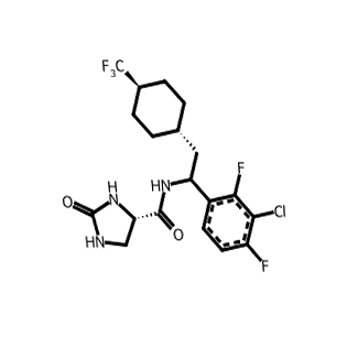 O=C1NC[C@@H](C(=O)NC(C[C@H]2CC[C@H](C(F)(F)F)CC2)c2ccc(F)c(Cl)c2F)N1